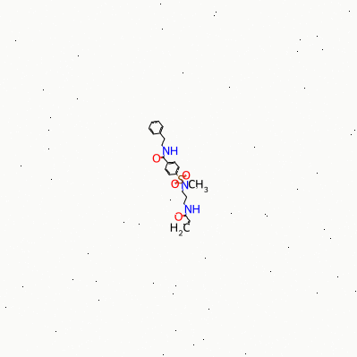 C=CC(=O)NCCCN(C)S(=O)(=O)c1ccc(C(=O)NCCc2ccccc2)cc1